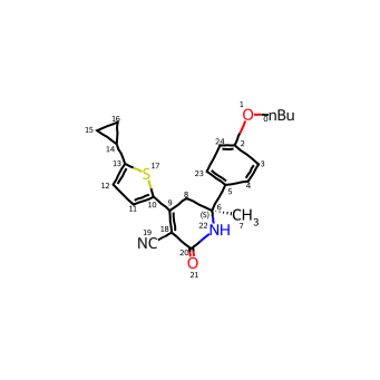 CCCCOc1ccc([C@]2(C)CC(c3ccc(C4CC4)s3)=C(C#N)C(=O)N2)cc1